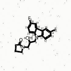 O=C1CCCN1CC(O)Cn1c2ccc(F)cc2c2cc(F)ccc21